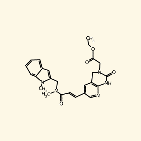 CCOC(=O)CN1Cc2cc(C=CC(=O)N(C)Cc3cc4ccccc4n3C)cnc2NC1=O